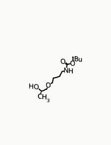 C[C@@H](O)COCCCCNC(=O)OC(C)(C)C